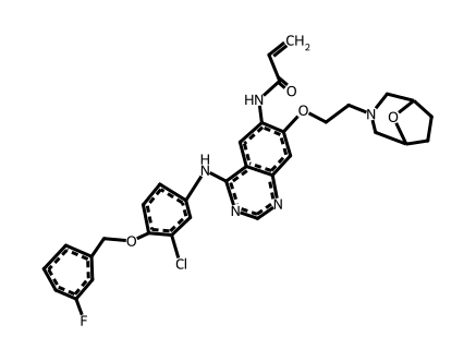 C=CC(=O)Nc1cc2c(Nc3ccc(OCc4cccc(F)c4)c(Cl)c3)ncnc2cc1OCCN1CC2CCC(C1)O2